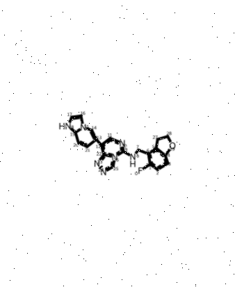 Fc1ccc2c(c1CNc1ncc(C3=CN4C=CNC4C=C3)c3nncn13)CCO2